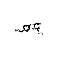 CC(=O)N[C@@H](C=O)Cc1ccc(CO)cc1